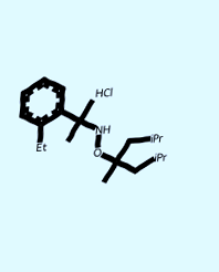 CCc1ccccc1C(C)(C)NOC(C)(CC(C)C)CC(C)C.Cl